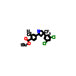 Cc1cc(C2=NC[C@@](c3cc(Cl)cc(Cl)c3)(C(F)(F)F)C2)ccc1C(=O)OC(C)(C)C